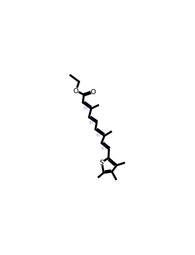 CCOC(=O)/C=C(C)/C=C/C=C(C)/C=C/c1sc(C)c(C)c1C